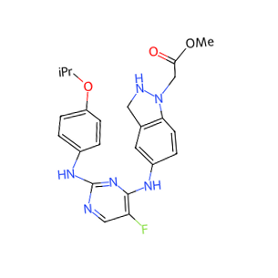 COC(=O)CN1NCc2cc(Nc3nc(Nc4ccc(OC(C)C)cc4)ncc3F)ccc21